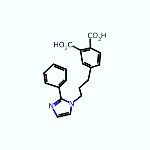 O=C(O)c1ccc(CCCn2ccnc2-c2ccccc2)cc1C(=O)O